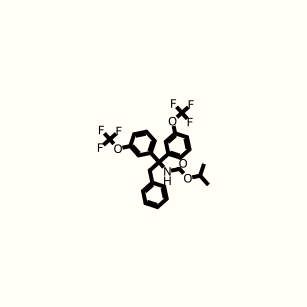 CC(C)OC(=O)NC(Cc1ccccc1)(c1cccc(OC(F)(F)F)c1)c1cccc(OC(F)(F)F)c1